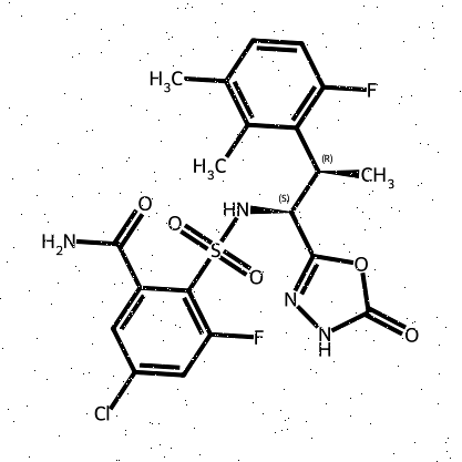 Cc1ccc(F)c([C@@H](C)[C@H](NS(=O)(=O)c2c(F)cc(Cl)cc2C(N)=O)c2n[nH]c(=O)o2)c1C